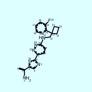 C=C(N)c1cnc(-c2ccc(NCC3(c4ncccc4F)CCC3)nn2)s1